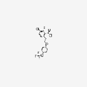 O=C(Cl)c1c(CCOc2ccc(OC(F)(F)F)cc2)ccc(Cl)c1F